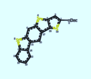 CCCCCCCCCCc1cc2sc3cc4sc5ccccc5c4cc3c2s1